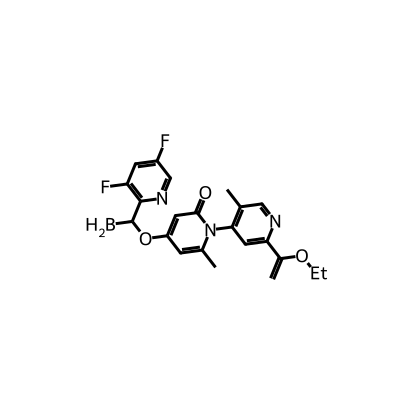 BC(Oc1cc(C)n(-c2cc(C(=C)OCC)ncc2C)c(=O)c1)c1ncc(F)cc1F